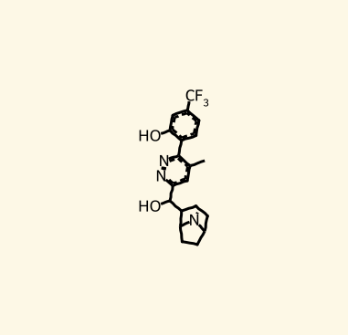 Cc1cc(C(O)C2CCC3CCC2N3C)nnc1-c1ccc(C(F)(F)F)cc1O